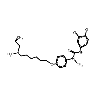 C=CCN(C)CCCCCCOc1ccc(N(C)C(=O)Nc2ccc(Cl)c(Cl)c2)cc1